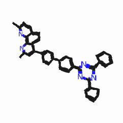 Cc1ccc2ccc3c(-c4ccc(-c5ccc(-c6nc(-c7ccccc7)nc(-c7ccccc7)n6)cc5)cc4)cc(C)nc3c2n1